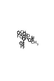 Cc1ccc(NC(=O)[C@H]2CCCN(C(=O)c3c(C)cccc3F)[C@H]2C2C=CC(CN3CCCC3C(F)(F)F)=CC2)cc1C(F)(F)F